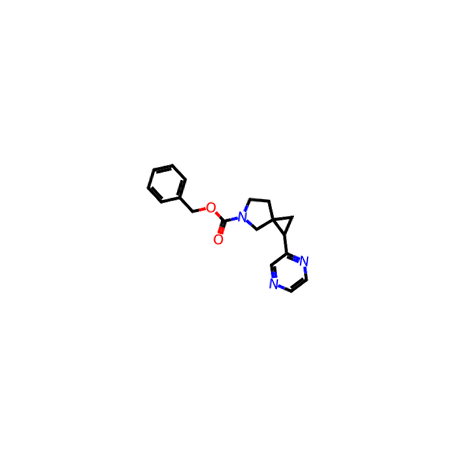 O=C(OCc1ccccc1)N1CCC2(CC2c2cnccn2)C1